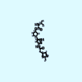 Cc1ncc(CC(=O)Nc2cc([C@H]3CCC(OC(=O)NC(C)C)C3)[nH]n2)s1